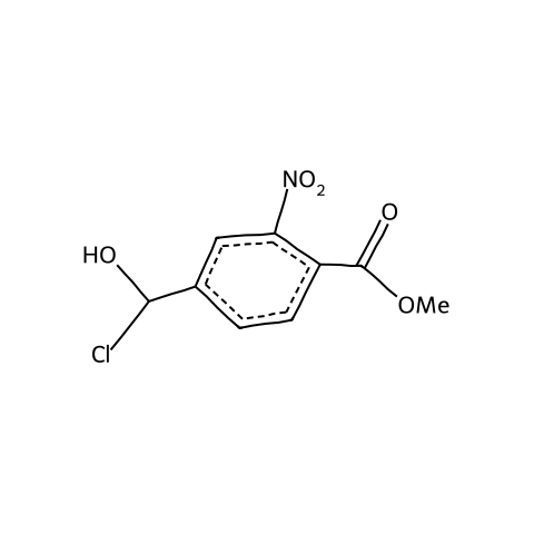 COC(=O)c1ccc(C(O)Cl)cc1[N+](=O)[O-]